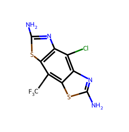 Nc1nc2c(Cl)c3nc(N)sc3c(C(F)(F)F)c2s1